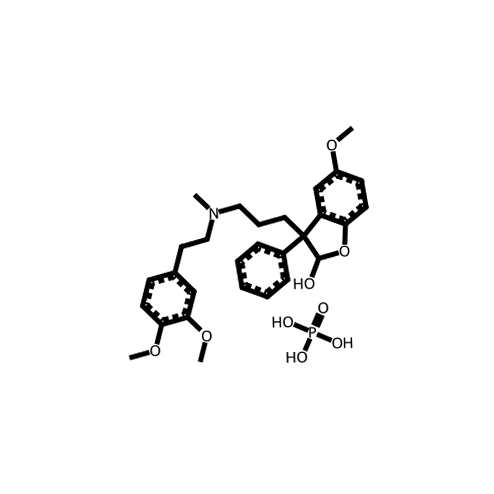 COc1ccc2c(c1)C(CCCN(C)CCc1ccc(OC)c(OC)c1)(c1ccccc1)C(O)O2.O=P(O)(O)O